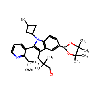 CO[C@@H](C)c1ncccc1-c1c(CC(C)(C)CO)c2cc(B3OC(C)(C)C(C)(C)O3)ccc2n1C1CC(C#N)C1